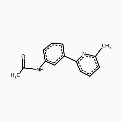 CC(=O)Nc1cccc(-c2cccc(C)n2)c1